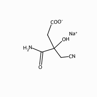 N#CCC(O)(CC(=O)[O-])C(N)=O.[Na+]